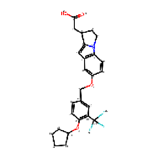 O=C(O)CC1CCn2c1cc1cc(OCc3ccc(OC4CCCC4)c(C(F)(F)F)c3)ccc12